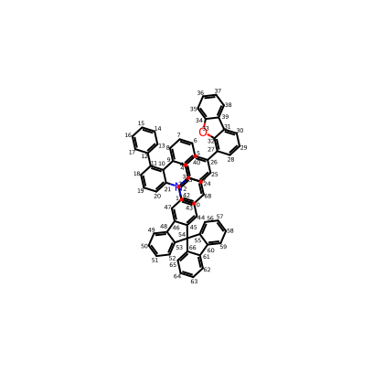 c1ccc(-c2ccccc2-c2c(-c3ccccc3)cccc2N(c2ccc(-c3cccc4c3oc3ccccc34)cc2)c2ccc3c(c2)-c2ccccc2C32c3ccccc3-c3ccccc32)cc1